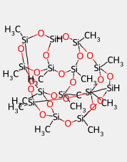 C[Si]12C[Si]3(C)O[Si]4(C)O[Si]5(C)O[SiH]6O[Si]7(C)O[Si]8(C)O[SiH](O[Si](C)(O1)O5)O[Si](C)(O2)O[Si](C)(O8)O[Si](C)(O3)O[Si](C)(O7)O[Si](C)(O6)O4